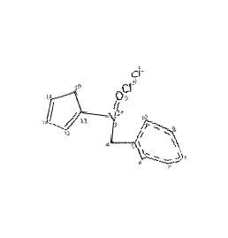 [Cl-].[Cl-].[O]=[V+2]([CH2]c1ccccc1)[C]1=CC=CC1